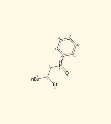 CCCCC(CC)C[PH](=O)c1ccccc1